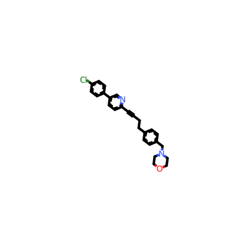 Clc1ccc(-c2ccc(C#CCCc3ccc(CN4CCOCC4)cc3)nc2)cc1